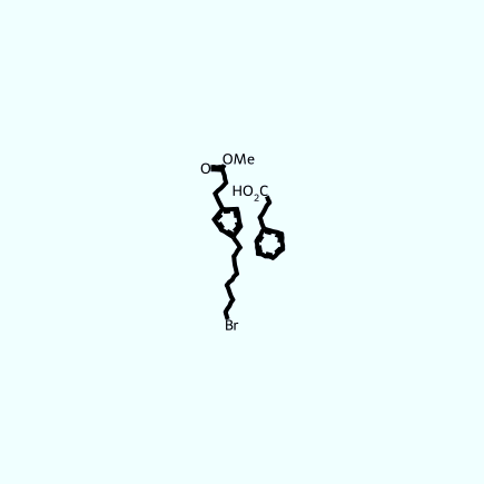 COC(=O)CCc1ccc(CCCCCCBr)cc1.O=C(O)CCc1ccccc1